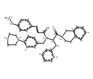 COc1ccc(C=CC(=O)N(Cc2ccc(N3CCOCC3)nc2)C(Cc2ccccn2)C(=O)N2CCc3ccccc3C2)cc1